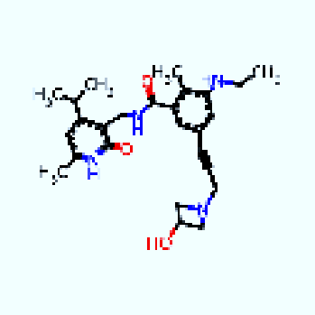 CCNc1cc(C#CCN2CC(O)C2)cc(C(=O)NCc2c(C(C)C)cc(C)[nH]c2=O)c1C